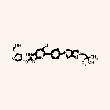 CC(C)(O)Cn1cc2c(n1)CN(c1ccc(-c3nc4nc(O[C@@H]5CO[C@H](CO)C5)[nH]c4cc3Cl)cc1)C2